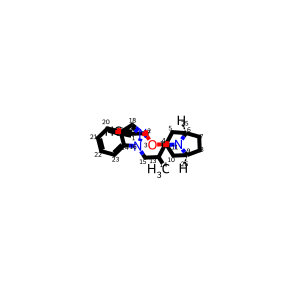 C#CCOC1C[C@H]2CC[C@@H](C1)N2CC(C)Cn1ncc2ccccc21